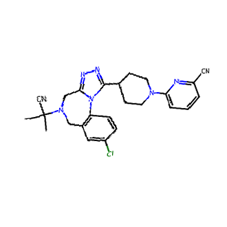 CC(C)(C#N)N1Cc2cc(Cl)ccc2-n2c(nnc2C2CCN(c3cccc(C#N)n3)CC2)C1